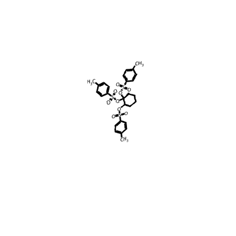 Cc1ccc(S(=O)(=O)OC2CCCCC2(OS(=O)(=O)c2ccc(C)cc2)OS(=O)(=O)c2ccc(C)cc2)cc1